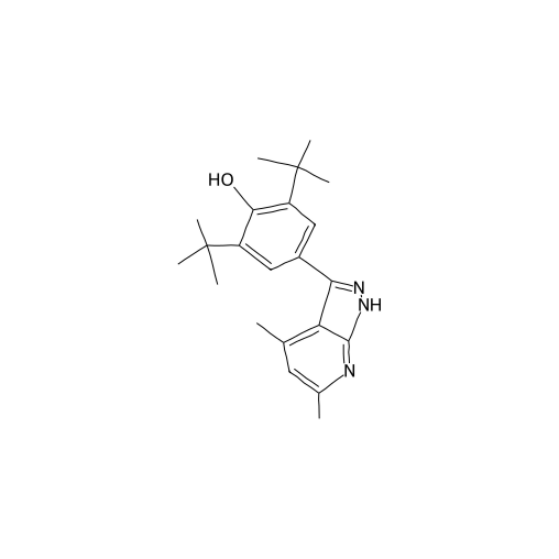 Cc1cc(C)c2c(-c3cc(C(C)(C)C)c(O)c(C(C)(C)C)c3)n[nH]c2n1